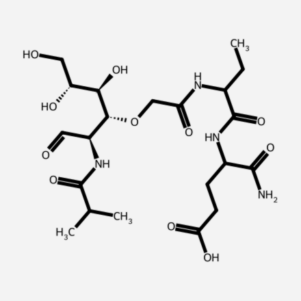 CCC(NC(=O)CO[C@@H]([C@H](O)[C@H](O)CO)[C@H](C=O)NC(=O)C(C)C)C(=O)NC(CCC(=O)O)C(N)=O